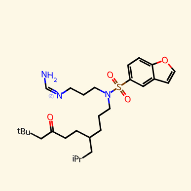 CC(C)CC(CCCN(CCC/N=C\N)S(=O)(=O)c1ccc2occc2c1)CCC(=O)CC(C)(C)C